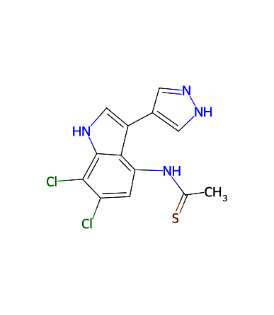 CC(=S)Nc1cc(Cl)c(Cl)c2[nH]cc(-c3cn[nH]c3)c12